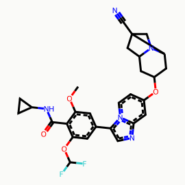 COc1cc(-c2cnc3cc(OC4CC5CC6(C#N)CN5C6C4)ccn23)cc(OC(F)F)c1C(=O)NC1CC1